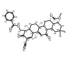 COC(=O)[C@@]12CCC3C(C(=O)C=C4[C@@]5(C)C=C(C#N)C(=O)[C@@](C)(COC(=O)c6ccccc6)C5CC[C@]43C)C1CC(C)(C)CC2